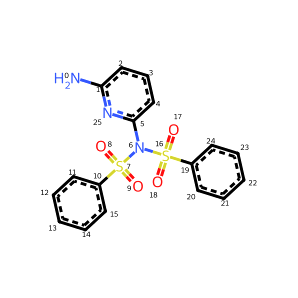 Nc1cccc(N(S(=O)(=O)c2ccccc2)S(=O)(=O)c2ccccc2)n1